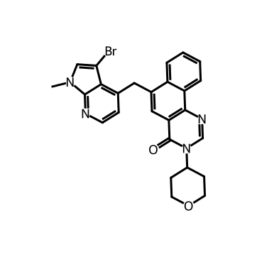 Cn1cc(Br)c2c(Cc3cc4c(=O)n(C5CCOCC5)cnc4c4ccccc34)ccnc21